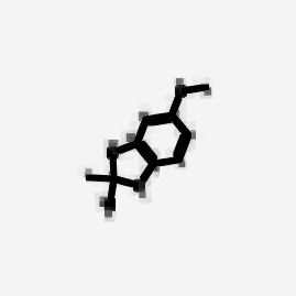 [2H]C1(C)Oc2ccc(OC)cc2O1